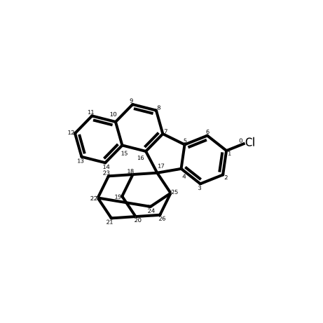 Clc1ccc2c(c1)-c1ccc3ccccc3c1C21C2CC3CC(C2)CC1C3